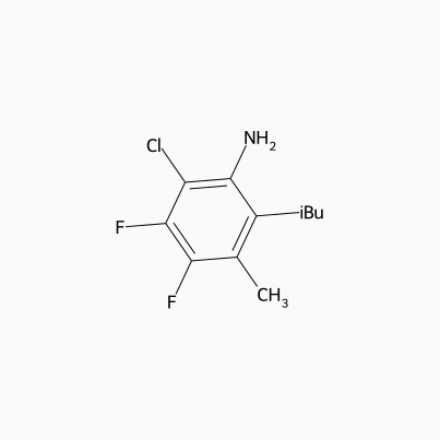 CCC(C)c1c(C)c(F)c(F)c(Cl)c1N